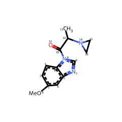 COc1ccc2c(c1)ncn2C(=O)C(C)N1CC1